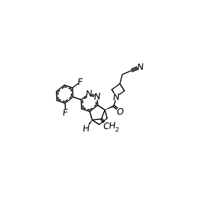 C=C1[C@@H]2CC[C@@]1(C(=O)N1CC(CC#N)C1)c1nnc(-c3c(F)cccc3F)cc12